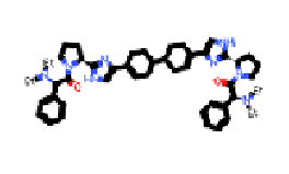 CCN(CC)[C@@H](C(=O)N1CCC[C@H]1c1nc(C2=CCC(C3CC=C(c4c[nH]c([C@@H]5CCCN5C(=O)[C@@H](c5ccccc5)N(CC)CC)n4)CC3)CC2)c[nH]1)c1ccccc1